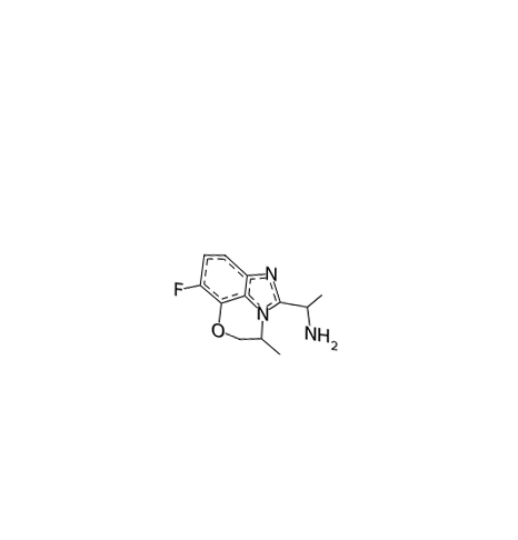 CC(N)c1nc2ccc(F)c3c2n1C(C)CO3